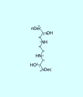 CCCCCCCCCCC(O)CNCCNCC(O)CCCCCCCCCC